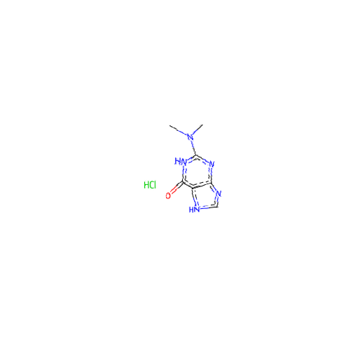 CN(C)c1nc2nc[nH]c2c(=O)[nH]1.Cl